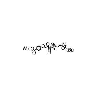 COC(=O)c1ccc(OCC(=O)Nc2ncc(/C=C/c3ncc(C(C)(C)C)o3)s2)cc1